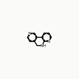 c1cnc2c(c1)-c1cnccc1CN2